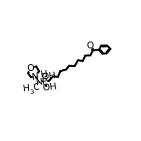 CN(N1CCOCC1)[PH](O)(O)CCCCCCCCCCCC(=O)c1ccccc1